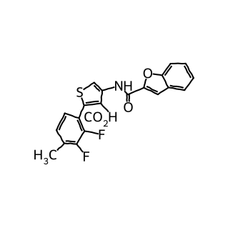 Cc1ccc(-c2scc(NC(=O)c3cc4ccccc4o3)c2C(=O)O)c(F)c1F